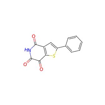 O=C1NC(=O)c2cc(-c3ccccc3)sc2C1=O